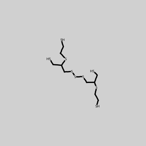 SCCSC(CS)CSSSCC(CS)SCCS